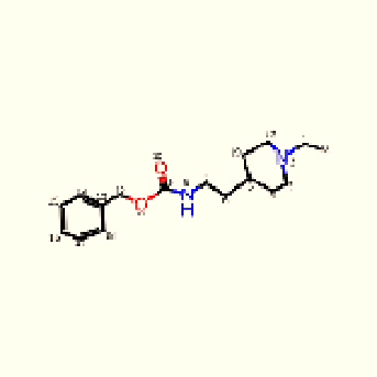 CCN1CCC(CCNC(=O)OCc2ccccc2)CC1